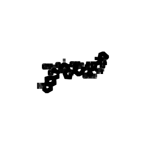 CC[C@H](C)C([C@@H](CC(=O)N1CCC[C@H]1[C@H](OC)[C@@H](C)C(=O)N[C@@H](Cc1ccc2c(c1)CCCN2)C(=O)OC)OC)N(C)C(=O)[C@@H](NC(=O)[C@]1(C)CCCN1C)C(C)C